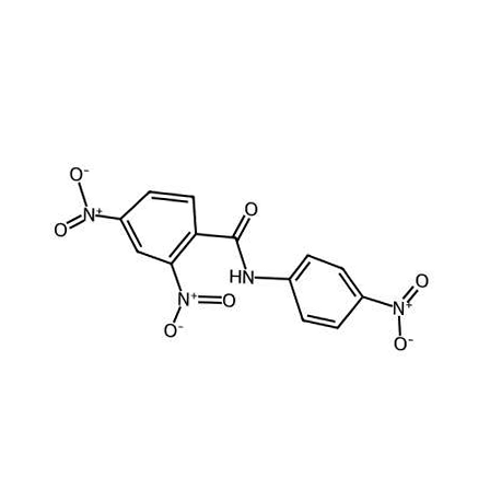 O=C(Nc1ccc([N+](=O)[O-])cc1)c1ccc([N+](=O)[O-])cc1[N+](=O)[O-]